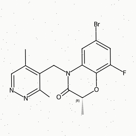 Cc1cnnc(C)c1CN1C(=O)[C@@H](C)Oc2c(F)cc(Br)cc21